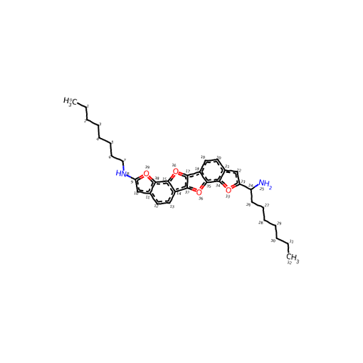 CCCCCCCCNc1cc2ccc3c(oc4c5ccc6cc(C(N)CCCCCCC)oc6c5oc34)c2o1